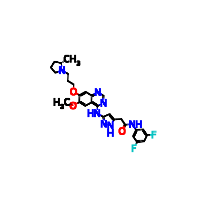 COc1cc2c(Nc3cc(CC(=O)Nc4cc(F)cc(F)c4)[nH]n3)ncnc2cc1OCCCN1CCC[C@@H]1C